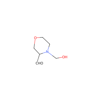 O=CC1COCCN1CO